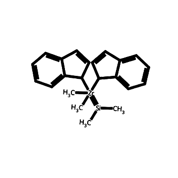 C[Si](C)=[Zr]([CH3])([CH3])([CH]1C=Cc2ccccc21)[CH]1C=Cc2ccccc21